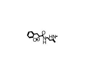 C=C(CCNC(=O)C1Cc2ccccc2OO1)NC